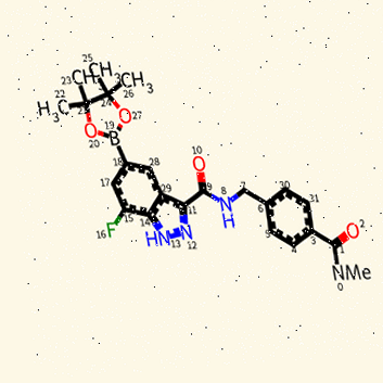 CNC(=O)c1ccc(CNC(=O)c2n[nH]c3c(F)cc(B4OC(C)(C)C(C)(C)O4)cc23)cc1